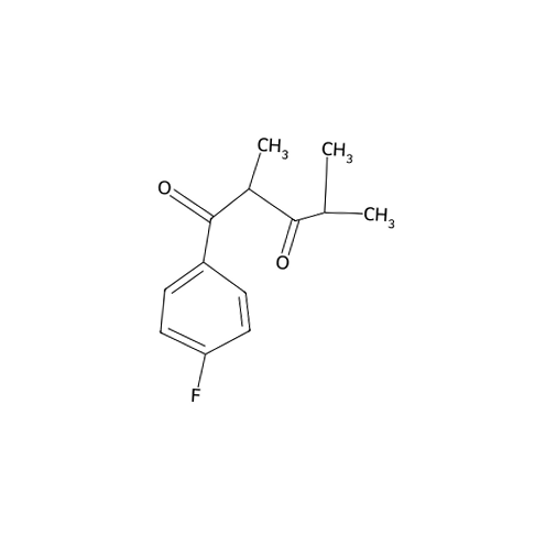 CC(C)C(=O)C(C)C(=O)c1ccc(F)cc1